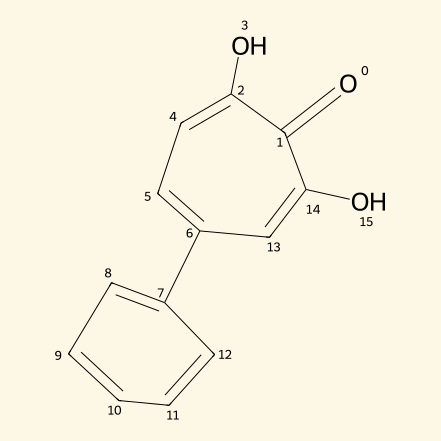 O=c1c(O)ccc(-c2ccccc2)cc1O